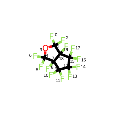 FC1(F)OC(F)(F)C2(F)C(F)(F)C(F)(F)C(F)(F)C12F